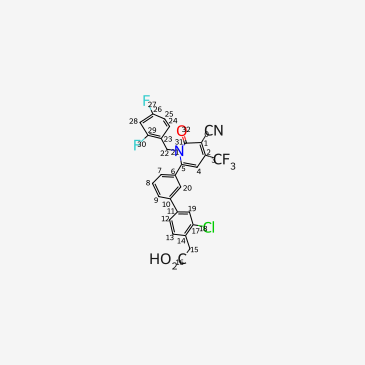 N#Cc1c(C(F)(F)F)cc(-c2cccc(-c3ccc(CC(=O)O)c(Cl)c3)c2)n(Cc2ccc(F)cc2F)c1=O